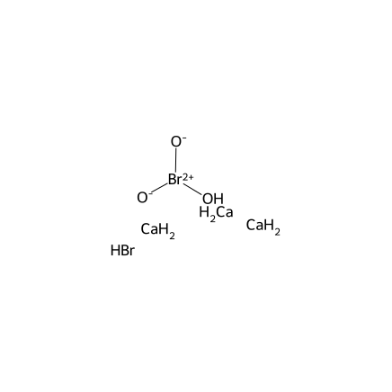 Br.[CaH2].[CaH2].[CaH2].[O-][Br+2]([O-])O